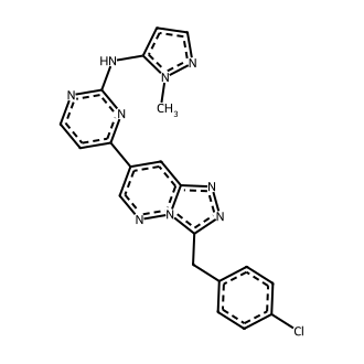 Cn1nccc1Nc1nccc(-c2cnn3c(Cc4ccc(Cl)cc4)nnc3c2)n1